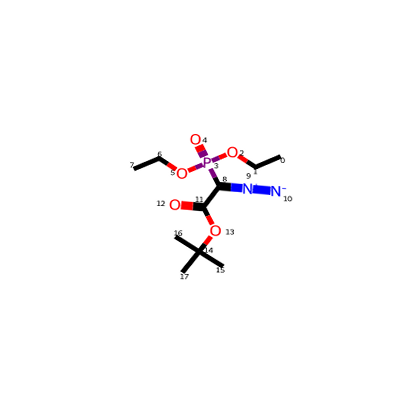 CCOP(=O)(OCC)C(=[N+]=[N-])C(=O)OC(C)(C)C